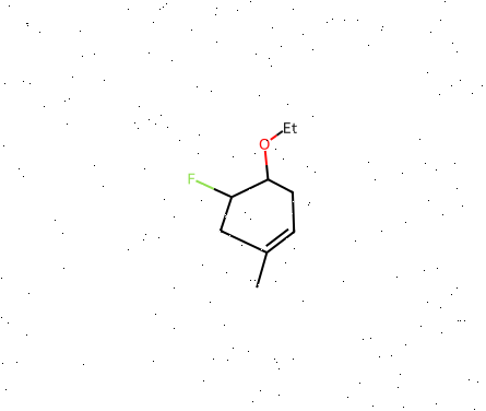 CCOC1CC=C(C)CC1F